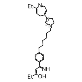 CCC1=CCC(N2CCN(CCCCCCc3ccc(C(=N)/C=C(\O)CC)cc3)S2)=CC=N1